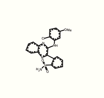 COc1ccc(Cl)c(Nc2nc3ccccc3nc2-c2ccccc2S(N)(=O)=O)c1